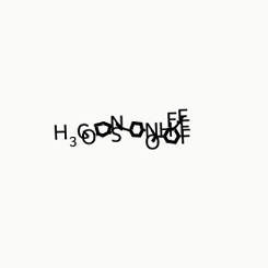 COc1ccc2nc(-c3ccc(NC(=O)c4ccc(F)c(C(F)(F)F)c4)cc3)sc2c1